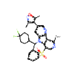 COc1ncc(S(C)(=O)=O)c2c1c1ncc(-c3c(C)noc3C)cc1n2C(c1ccccc1)C1CCC(F)(F)CC1